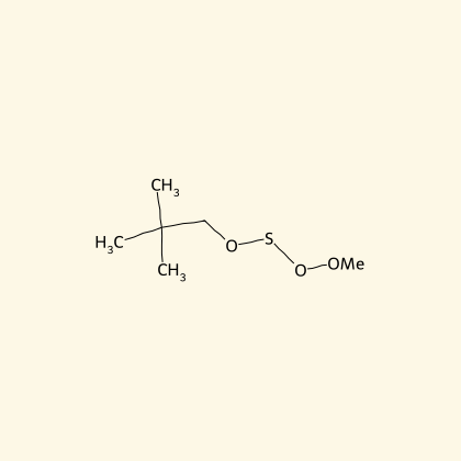 COOSOCC(C)(C)C